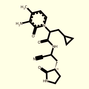 Cc1ccn(C(CC2CC2)C(=O)NC(C#N)C[C@@H]2CCNC2=O)c(=O)c1N